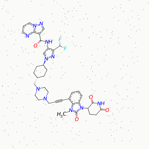 Cn1c(=O)n(C2CCC(=O)NC2=O)c2cccc(C#CCN3CCN(C[C@H]4CC[C@H](n5cc(NC(=O)c6cnn7cccnc67)c(C(F)F)n5)CC4)CC3)c21